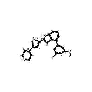 COc1cc(F)cc(-c2cccc3[nH]c(-c4cc(-c5ccncc5)[nH]n4)cc23)c1